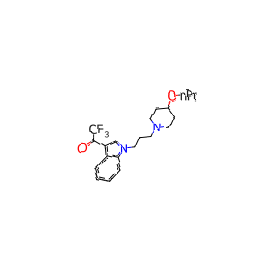 CCCOC1CCN(CCCn2cc(C(=O)C(F)(F)F)c3ccccc32)CC1